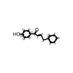 O=C(C=CCc1ccccc1)c1ccc(O)cc1